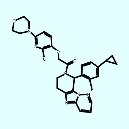 O=C(COc1ccc(N2CCOCC2)nc1Cl)N1CCc2nc3cccnn3c2C1c1ccc(C2CC2)cc1F